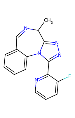 CC1N=Cc2ccccc2-n2c(-c3ncccc3F)nnc21